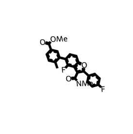 CNC(=O)c1c(-c2ccc(F)cc2)oc2ccc(-c3cc(C(=O)OC)ccc3C)c(F)c12